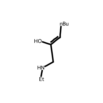 CCCCC=C(O)CNCC